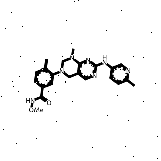 CONC(=O)c1ccc(C)c(N2Cc3cnc(Nc4ccc(C)nc4)nc3N(C)C2)c1